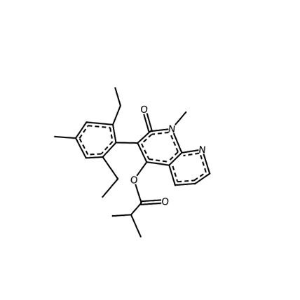 CCc1cc(C)cc(CC)c1-c1c(OC(=O)C(C)C)c2cccnc2n(C)c1=O